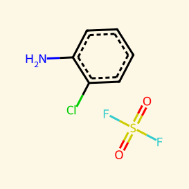 Nc1ccccc1Cl.O=S(=O)(F)F